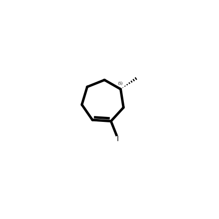 C[C@H]1CCCC=C(I)C1